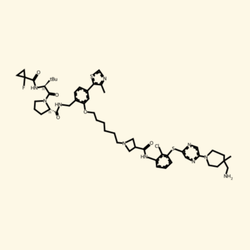 Cc1ncsc1-c1ccc(CNC(=O)[C@@H]2CCCN2C(=O)[C@@H](NC(=O)C2(F)CC2)C(C)(C)C)c(OCCCCCCN2CC(C(=O)Nc3cccc(Sc4cnc(N5CCC(C)(CN)CC5)cn4)c3Cl)C2)c1